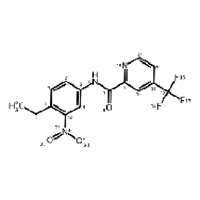 CCc1ccc(NC(=O)c2cc(C(F)(F)F)ccn2)cc1[N+](=O)[O-]